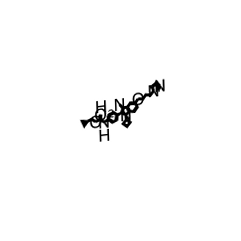 Nc1c(-c2ccc(NC(=O)OCC3CC3)cc2)n(C2CCC2)c2ccc(OCCCn3ccnc3)cc12